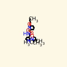 CCCOc1cccc(S(=O)(=O)NC(=O)c2cccnc2N2CCC(C)C2(C)C)n1